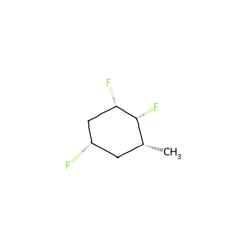 C[C@@H]1C[C@H](F)C[C@H](F)[C@@H]1F